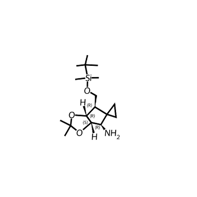 CC1(C)O[C@@H]2[C@H](O1)[C@@H](CO[Si](C)(C)C(C)(C)C)C1(CC1)[C@H]2N